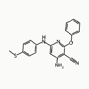 CSc1ccc(Nc2cc(N)c(C#N)c(Oc3ccccc3)n2)cc1